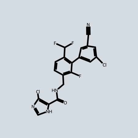 N#Cc1cc(Cl)cc(-c2c(C(F)F)ccc(CNC(=O)c3[nH]cnc3Cl)c2F)c1